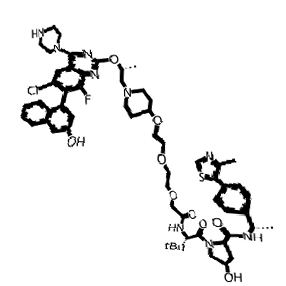 Cc1ncsc1-c1ccc([C@H](C)NC(=O)C2CC(O)CN2C(=O)[C@@H](NC(=O)COCCOCCOC2CCN(C[C@@H](C)Oc3nc(N4CCNCC4)c4cc(Cl)c(-c5cc(O)cc6ccccc56)c(F)c4n3)CC2)C(C)(C)C)cc1